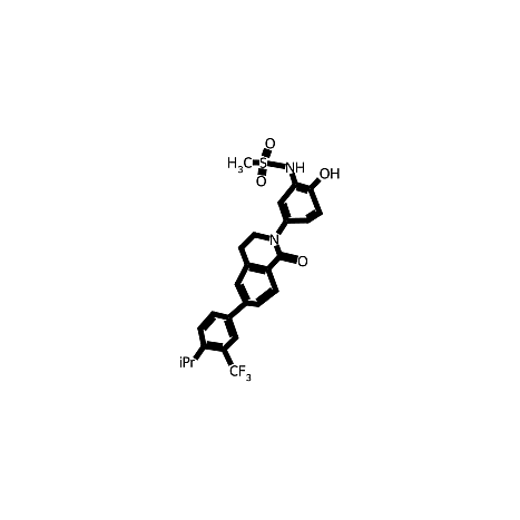 CC(C)c1ccc(-c2ccc3c(c2)CCN(c2ccc(O)c(NS(C)(=O)=O)c2)C3=O)cc1C(F)(F)F